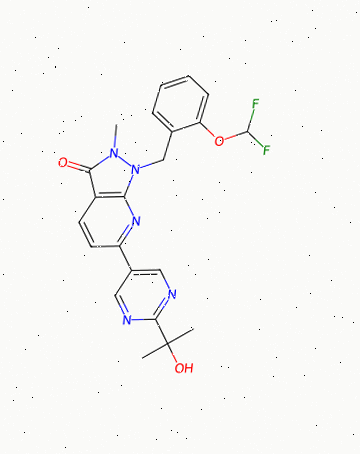 Cn1c(=O)c2ccc(-c3cnc(C(C)(C)O)nc3)nc2n1Cc1ccccc1OC(F)F